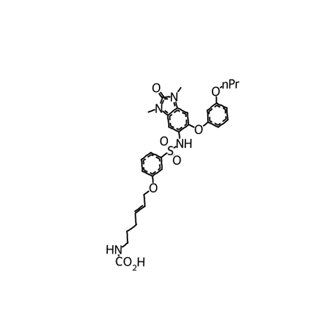 CCCOc1cccc(Oc2cc3c(cc2NS(=O)(=O)c2cccc(OC/C=C/CCCNC(=O)O)c2)n(C)c(=O)n3C)c1